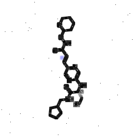 CC(C)C[C@@H](Nc1cnc(/C=C/C(=O)NOC2CCCCO2)cn1)C(=O)NCC1CCCC1